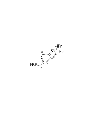 CC(C)C(F)(F)Sc1ccc(CC#N)cc1